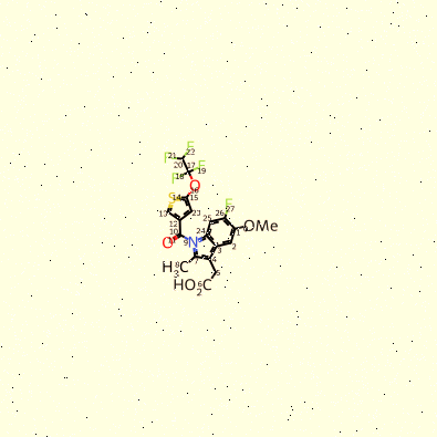 COc1cc2c(CC(=O)O)c(C)n(C(=O)c3csc(OC(F)(F)C(F)F)c3)c2cc1F